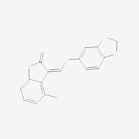 Cc1cccc2c1C(=CNc1ccc3c(c1)OCO3)C(=O)N2